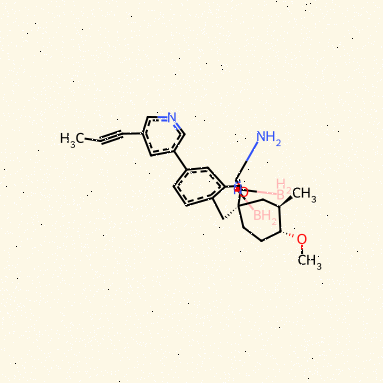 BC1(B)OC(N)=N[C@]12c1cc(-c3cncc(C#CC)c3)ccc1C[C@]21CC[C@@H](OC)[C@H](C)C1